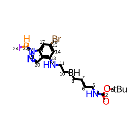 CC(C)(C)OC(=O)NCCCCBCCNc1cc(Br)cc2c1cnn2PI